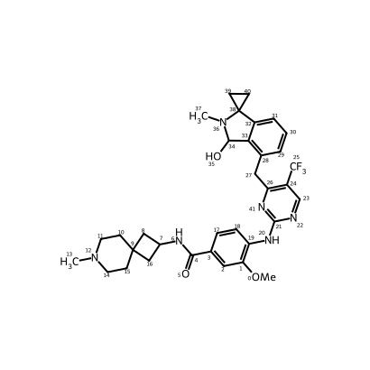 COc1cc(C(=O)NC2CC3(CCN(C)CC3)C2)ccc1Nc1ncc(C(F)(F)F)c(Cc2cccc3c2C(O)N(C)C32CC2)n1